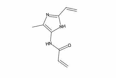 C=CC(=O)Nc1[nH]c(C=C)nc1C